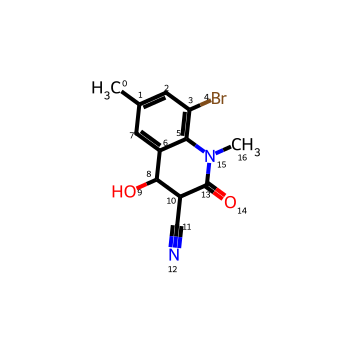 Cc1cc(Br)c2c(c1)C(O)C(C#N)C(=O)N2C